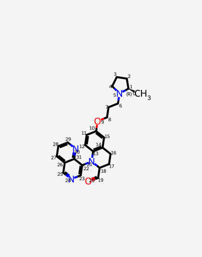 C[C@@H]1CCCN1CCCOc1ccc2c(c1)CCC(C=O)N2c1cncc2cccnc12